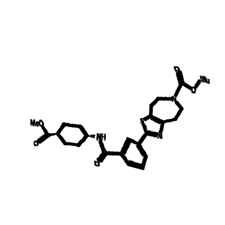 COC(=O)[C@H]1CC[C@H](NC(=O)c2cccc(-c3nc4c(s3)CCN(C(=O)OC(C)(C)C)CC4)c2)CC1